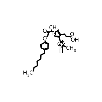 CCCCCCCCc1ccc(OCC(=O)C(C)n2cc(CCC(=O)O)c(C3=NC(C)NO3)c2)cc1